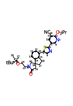 CC(C)Oc1ncc(-c2ncc(-c3cccc4c3CCC43CC(=O)N(CCO[Si](C)(C)C(C)(C)C)C3)s2)cc1C#N